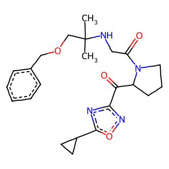 CC(C)(COCc1ccccc1)NCC(=O)N1CCCC1C(=O)c1noc(C2CC2)n1